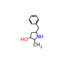 CC1NC(Cc2ccccc2)CC1O